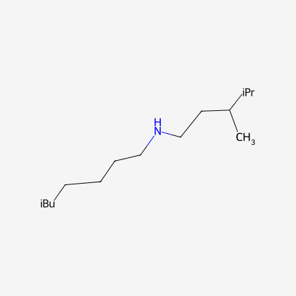 CCC(C)CCCCNCCC(C)C(C)C